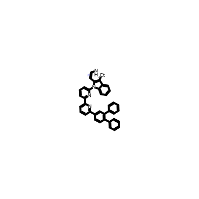 CCc1c(/C=C\N)n(-c2cccc(-c3cccc(-c4ccc(-c5ccccc5)c(-c5ccccc5)c4)n3)n2)c2ccccc12